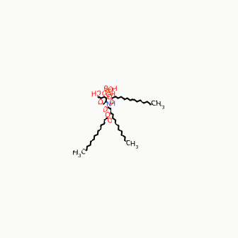 CCCCCCCCCCCCCC(=O)OC(CCCCCCCCCCC)CC(=O)NC1COC(CO)C(OP(=O)(O)O)C1OC(=O)CCCCCCCCCCCCC